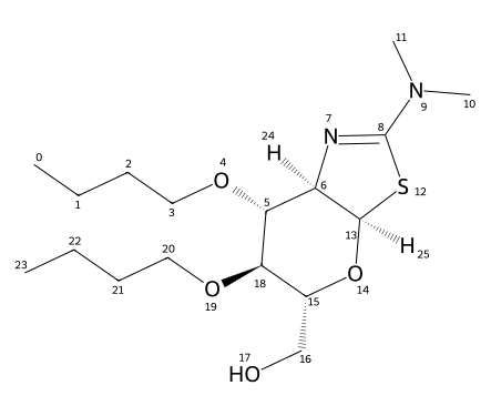 CCCCO[C@@H]1[C@H]2N=C(N(C)C)S[C@H]2O[C@H](CO)[C@H]1OCCCC